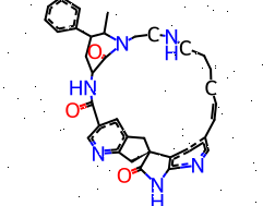 CC1C(c2ccccc2)CC2NC(=O)c3cnc4c(c3)C[C@@]3(C4)C(=O)Nc4ncc(cc43)C=CCCCCNCCN1C2=O